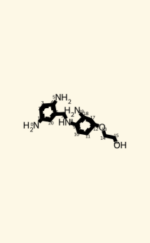 Nc1ccc(N)c(CNc2ccc(OCCO)cc2N)c1